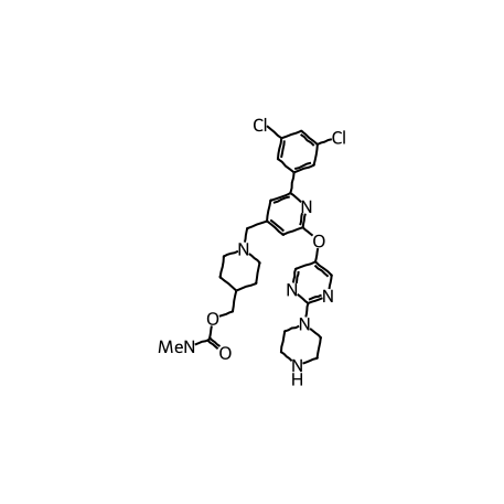 CNC(=O)OCC1CCN(Cc2cc(Oc3cnc(N4CCNCC4)nc3)nc(-c3cc(Cl)cc(Cl)c3)c2)CC1